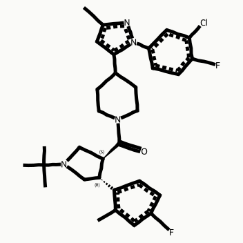 Cc1cc(C2CCN(C(=O)[C@@H]3CN(C(C)(C)C)C[C@H]3c3ccc(F)cc3C)CC2)n(-c2ccc(F)c(Cl)c2)n1